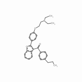 CCCc1ccc(C(=O)c2c(-c3ccc(OCCN(CC)CC)cc3)oc3ccccc23)cc1